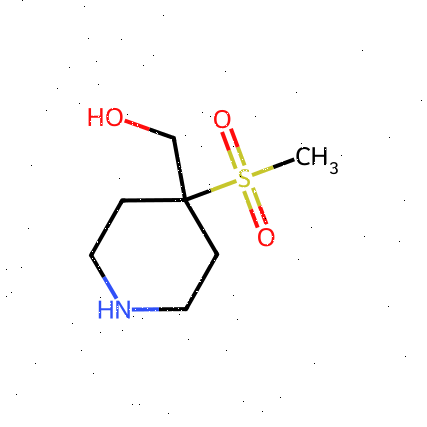 CS(=O)(=O)C1(CO)CCNCC1